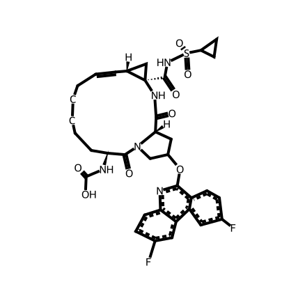 O=C(O)N[C@H]1CCCCC/C=C\[C@@H]2C[C@@]2(C(=O)NS(=O)(=O)C2CC2)NC(=O)[C@@H]2CC(Oc3nc4ccc(F)cc4c4cc(F)ccc34)CN2C1=O